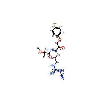 COC(C)(C)C(=O)N[C@@H](CCCNC(=N)NC#N)C(=O)COc1ccc(F)cc1